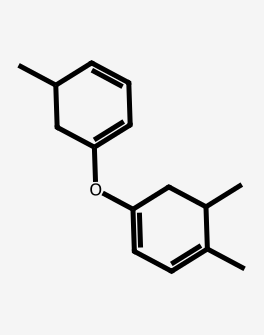 CC1=CC=C(OC2=CC=CC(C)C2)CC1C